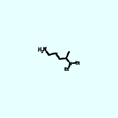 CCN(CC)C(C)C[CH]CN